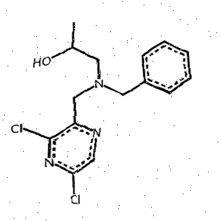 CC(O)CN(Cc1ccccc1)Cc1ncc(Cl)nc1Cl